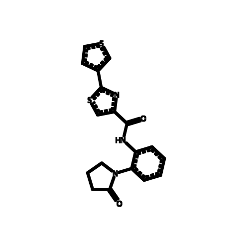 O=C(Nc1ccccc1N1CCCC1=O)c1csc(-c2ccsc2)n1